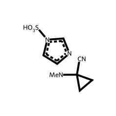 CNC1(C#N)CC1.O=S(=O)(O)n1ccnc1